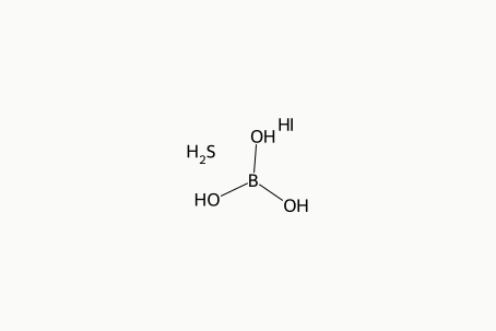 I.OB(O)O.S